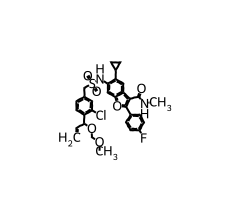 C=CC(OCOC)c1ccc(CS(=O)(=O)Nc2cc3oc(-c4ccc(F)cc4)c(C(=O)NC)c3cc2C2CC2)cc1Cl